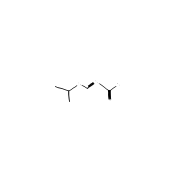 CC(C)NC=NC(N)=O